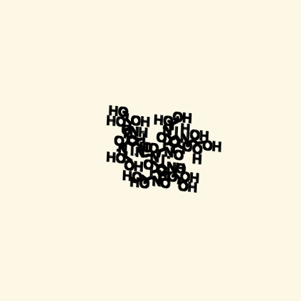 CN(CCN(CC(O)CN(C)C(=O)c1c(I)c(NC(=O)C(O)C(O)CO)c(I)c(C(=O)N(C)CC(O)CO)c1I)C(=O)c1c(I)c(NC(=O)C(O)C(O)CO)c(I)c(C(=O)N(C)CC(O)CO)c1I)C(=O)c1c(I)c(NC(=O)C(O)C(O)CO)c(I)c(C(=O)N(C)CC(O)CO)c1I